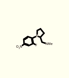 CNCC1CCCN1c1ccc([N+](=O)[O-])cc1F